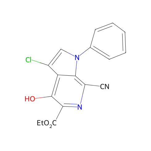 CCOC(=O)c1nc(C#N)c2c(c(Cl)cn2-c2ccccc2)c1O